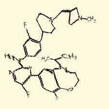 CC(C)N1CCOc2c(F)cc(-c3nc(Nc4ccc(C5CCN(CC6CN(C)C6)CC5)c(F)c4)ncc3F)cc21